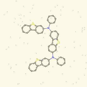 c1ccc(N(c2ccc3c(c2)sc2ccccc23)c2ccc3c(c2)sc2ccc(N(c4ccccc4)c4ccc5c(c4)sc4ccccc45)cc23)cc1